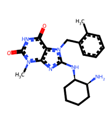 Cc1ccccc1Cn1c(N[C@@H]2CCCC[C@@H]2N)nc2c1c(=O)[nH]c(=O)n2C